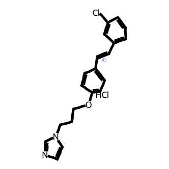 Cl.Clc1cccc(/C=C/c2ccc(OCCCn3ccnc3)cc2)c1